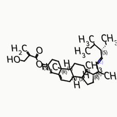 C=C(CO)C(=O)O[C@H]1CC[C@@]2(C)C(=CC[C@H]3[C@@H]4CC[C@H]([C@H](C)/C=C/[C@@H](CC)C(C)C)[C@@]4(C)CC[C@@H]32)C1